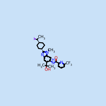 CC(I)[C@H]1CC[C@H](c2nc3cc(C(C)(C)O)c(NC(=O)c4cccc(C(F)(F)F)n4)cc3n2C)CC1